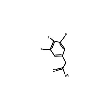 CC(C)C(=O)Cc1cc(F)c(F)c(F)c1